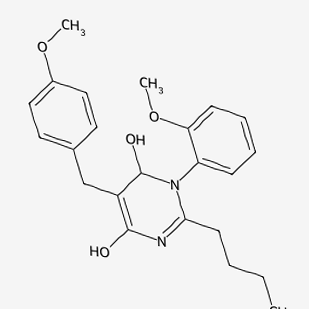 CCCCC1=NC(O)=C(Cc2ccc(OC)cc2)C(O)N1c1ccccc1OC